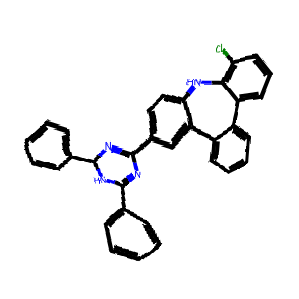 Clc1cccc2c1Nc1ccc(C3=NC(c4ccccc4)NC(c4ccccc4)=N3)cc1-c1ccccc1-2